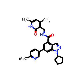 COc1ccc(-c2cc(C(=O)NCc3c(C)cc(C)[nH]c3=O)c3cnn(C4CCCC4)c3c2)cn1